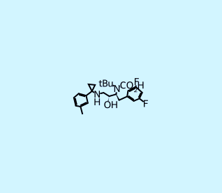 Cc1cccc(C2(NC[C@@H](O)[C@H](Cc3cc(F)cc(F)c3)N(C(=O)O)C(C)(C)C)CC2)c1